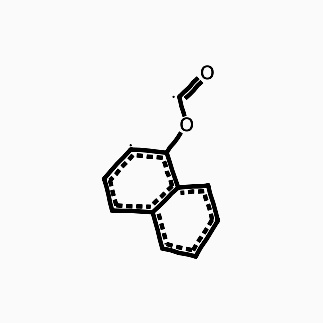 O=[C]Oc1[c]ccc2ccccc12